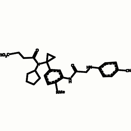 CCOC(=O)CCC(=O)N(C1CCCC1)C1(c2ccc(NC)c(NC(=O)CNc3ccc(C#N)cc3)c2)CC1